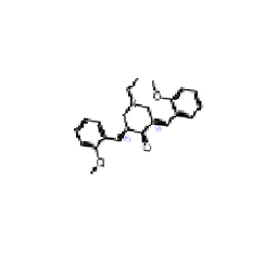 CCN1C/C(=C\c2ccccc2OC)C(=O)/C(=C/c2ccccc2OC)C1